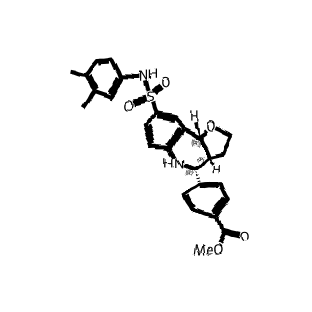 COC(=O)c1ccc([C@@H]2Nc3ccc(S(=O)(=O)Nc4ccc(C)c(C)c4)cc3[C@@H]3OCC[C@H]23)cc1